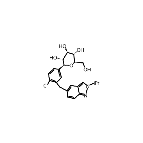 CC(C)n1cc2cc(Cc3cc([C@@H]4O[C@H](CO)[C@@H](O)[C@H](O)[C@H]4O)ccc3Cl)ccc2n1